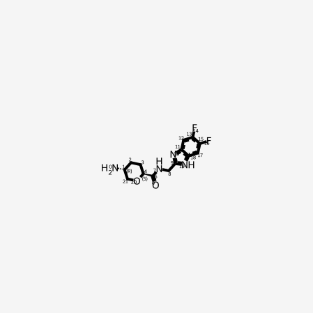 N[C@@H]1CC[C@@H](C(=O)NCc2nc3cc(F)c(F)cc3[nH]2)OC1